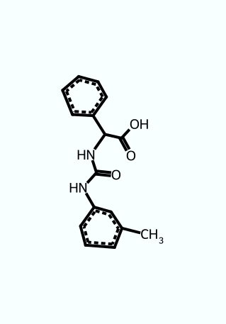 Cc1cccc(NC(=O)NC(C(=O)O)c2ccccc2)c1